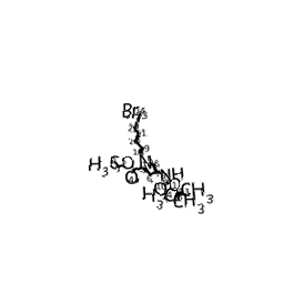 CCOC(=O)c1cc(NC(=O)OC(C)(C)C)cn1CCCCCCBr